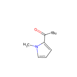 Cn1cccc1C(=O)C(C)(C)C